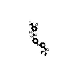 CCN(CC)C(=O)c1cc(OC2CCC(NC(=O)Nc3ccc(Cl)c(C(F)(F)F)c3)CC2)ccn1